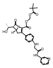 C[C@@H](O)[C@H]1C(=O)N2C(C(=O)OCOC(=O)C(C)(C)C)=C(c3ccc(NCC(=O)Nc4cccnc4)cc3)C[C@H]12